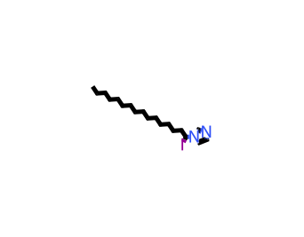 CCCCCCCCCCCCCCCC(I)n1ccnc1